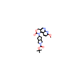 COc1ccc2c3c(cnc2n1)COC(=O)N3C1CC2CN(C(=O)OC(C)(C)C)CC2C1